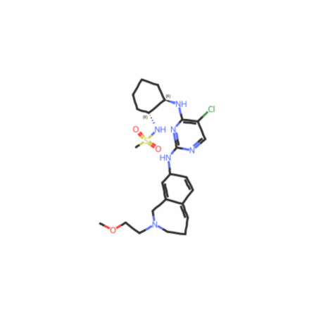 COCCN1CCC=C2C=CC(Nc3ncc(Cl)c(N[C@@H]4CCCC[C@H]4NS(C)(=O)=O)n3)C=C2C1